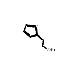 CCCCCCC1[C]=CC=C1